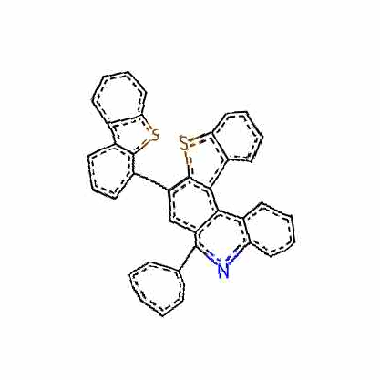 c1ccc(-c2nc3ccccc3c3c2cc(-c2cccc4c2sc2ccccc24)c2sc4ccccc4c23)cc1